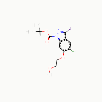 COCCOc1cc2c(cc1F)c(I)nn2C(=O)OC(C)(C)C